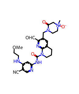 COCCNc1cc(NC(=O)N2CCCc3cc(CN4CC[N+](C)([O-])CC4=O)c(C=O)nc32)ncc1C#N